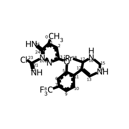 Cc1cc(Oc2cc(C(F)(F)F)ccc2C2=CNCNC2C(C)C)nn(C(=N)Cl)c1=N